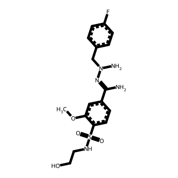 COc1cc(/C(N)=N/N(N)Cc2ccc(F)cc2)ccc1S(=O)(=O)NCCO